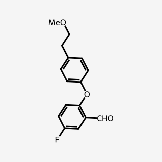 COCCc1ccc(Oc2ccc(F)cc2C=O)cc1